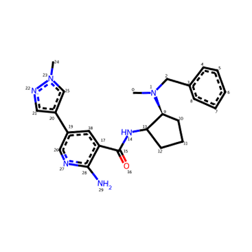 CN(Cc1ccccc1)[C@H]1CCCC1NC(=O)c1cc(-c2cnn(C)c2)cnc1N